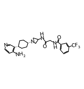 Nc1ccncc1[C@H]1CC[C@@H](N2CC(NC(=O)CNC(=O)c3cccc(C(F)(F)F)c3)C2)CC1